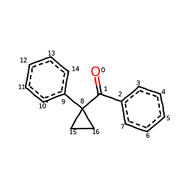 O=C(c1ccccc1)C1(c2[c]cccc2)CC1